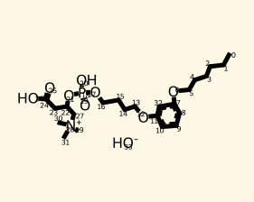 CCCCCCOc1cccc(OCCCCOP(=O)(O)OC(CC(=O)O)C[N+](C)(C)C)c1.[OH-]